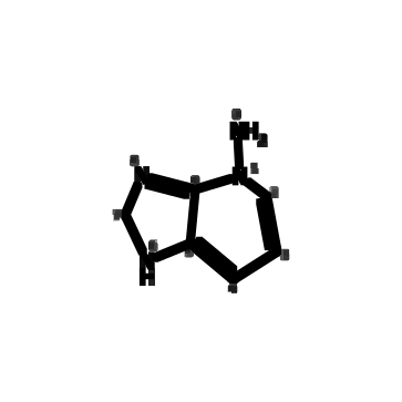 NN1C=CC=C2NCN=C21